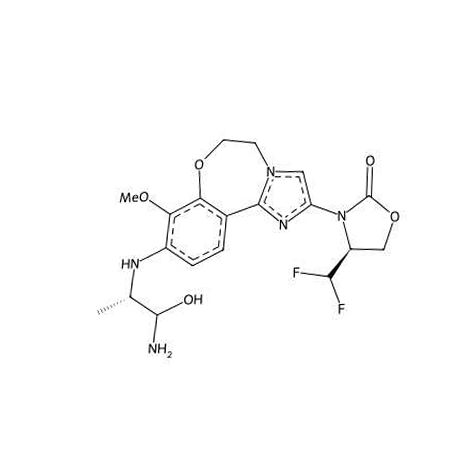 COc1c(N[C@@H](C)C(N)O)ccc2c1OCCn1cc(N3C(=O)OC[C@H]3C(F)F)nc1-2